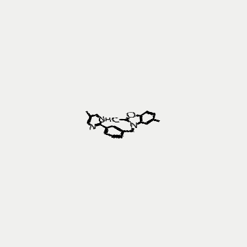 Cc1cnc(-c2cccc(CN3c4cc(C)ccc4OC3C=O)c2)nc1